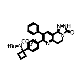 CC(C)(C)N(C(=O)O)C1(c2ccc(-c3nc4c(cc3-c3ccccc3)-c3n[nH]c(=O)n3CC4)cc2)CCC1